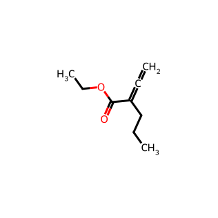 C=C=C(CCC)C(=O)OCC